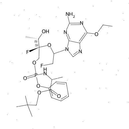 CCOc1nc(N)nc2c1ncn2C(CF)O[C@](F)(COP(=O)(NC(C)C(=O)OCC(C)(C)C)Oc1ccccc1)[C@H](C)O